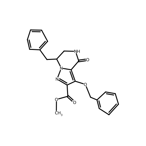 COC(=O)c1nn2c(c1OCc1ccccc1)C(=O)NCC2Cc1ccccc1